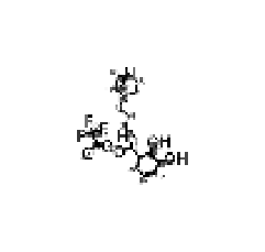 O=C(NCCC[N+]12CCN(CC1)CC2)c1cccc(O)c1O.O=C([O-])C(F)(F)F